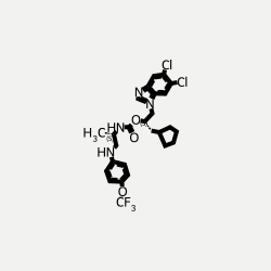 C[C@@H](CNc1ccc(OC(F)(F)F)cc1)NC(=O)O[C@@H](CC1CCCC1)Cn1cnc2cc(Cl)c(Cl)cc21